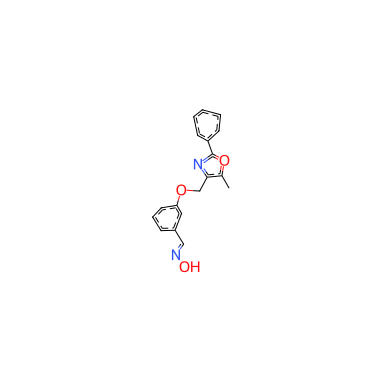 Cc1oc(-c2ccccc2)nc1COc1cccc(C=NO)c1